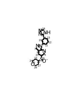 [O-][S+](c1cnc2c(cnn2-c2cccc(-c3nnc[nH]3)c2)c1)C1CCOCC1